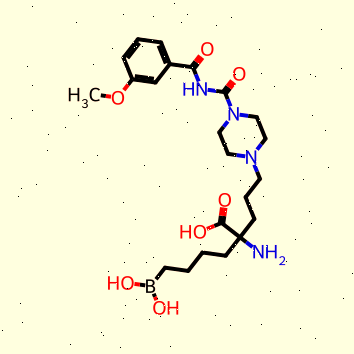 COc1cccc(C(=O)NC(=O)N2CCN(CCCC(N)(CCCCB(O)O)C(=O)O)CC2)c1